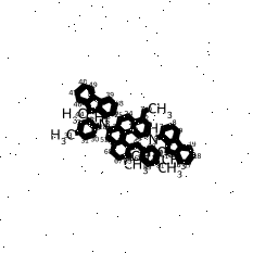 CCc1cc(Nc2cccc3c2C(C)(C)c2ccccc2-3)cc2c1ccc1c(N(c3ccc(C)cc3)c3cccc4c3C(C)(C)c3ccccc3-4)cc3c(c12)/C(=C/c1ccc(C)cc1)C(C)(C)CC3